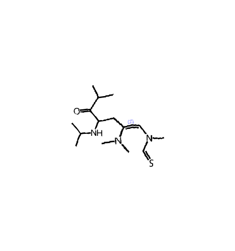 CC(C)NC(C/C(=C/N(C)C=S)N(C)C)C(=O)C(C)C